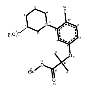 CCOC(=O)[C@@H]1CCCN(c2cc(OC(C)(C)C(=O)OC(C)(C)C)ccc2F)C1